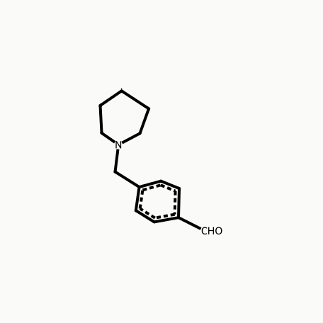 O=Cc1ccc(CN2CC[CH]CC2)cc1